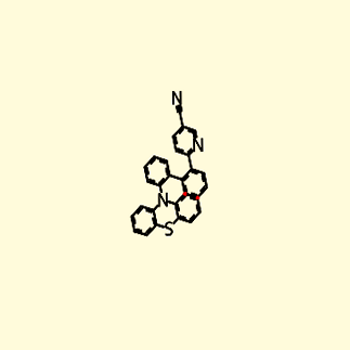 N#Cc1ccc(-c2ccccc2-c2ccccc2N2c3ccccc3Sc3ccccc32)nc1